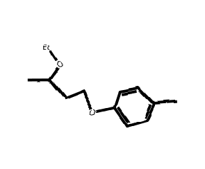 CCOC(C)CCOc1ccc(C)cc1